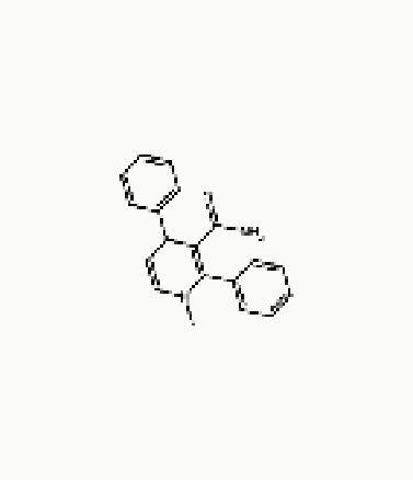 CN1C=CC(c2ccccc2)C(C(N)=O)=C1c1ccccc1